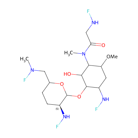 COC1CC(NF)C(OC2OC(CN(C)F)CC[C@@H]2NF)C(O)C1N(C)C(=O)CNF